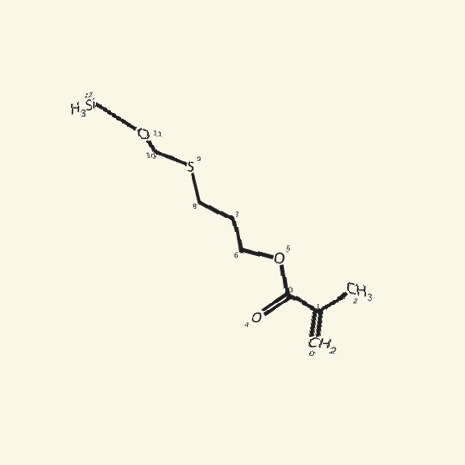 C=C(C)C(=O)OCCCSCO[SiH3]